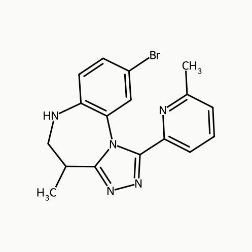 Cc1cccc(-c2nnc3n2-c2cc(Br)ccc2NCC3C)n1